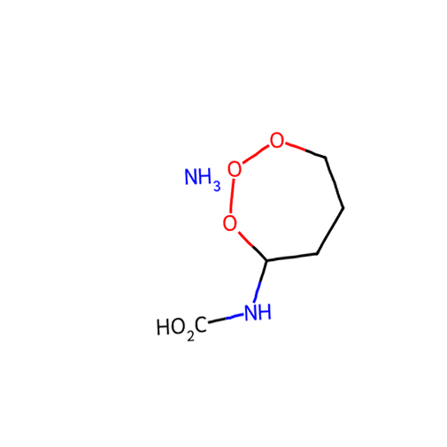 N.O=C(O)NC1CCCOOO1